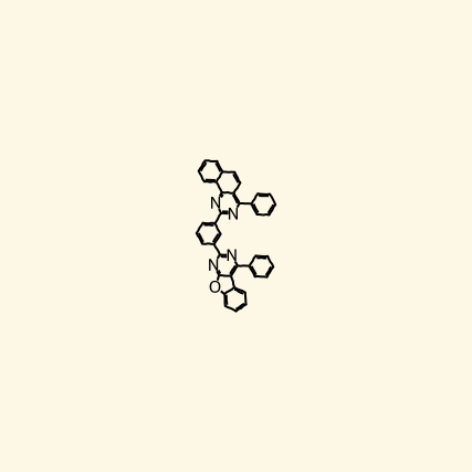 c1ccc(-c2nc(-c3cccc(-c4nc(-c5ccccc5)c5c(n4)oc4ccccc45)c3)nc3c2ccc2ccccc23)cc1